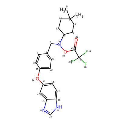 CC1(C)CCC(N(Cc2ccc(Oc3ccc4[nH]cnc4c3)cc2)OC(=O)C(F)(F)F)CC1